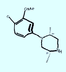 COc1cc(N2C[C@@H](C)NC[C@H]2C)ccc1Cl